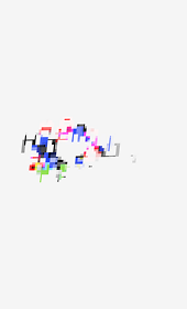 COC(C)c1ncc(N2CCOCC2)cc1-c1c2c3cc(c(F)cc3n1CC(F)(F)F)-c1csc(n1)CC(NC(=O)CC(C)C)C(=O)N1CCCC(N1)C(=O)OCC(C)(C)C2